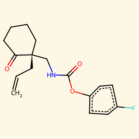 C=CC[C@]1(CNC(=O)Oc2ccc(F)cc2)CCCCC1=O